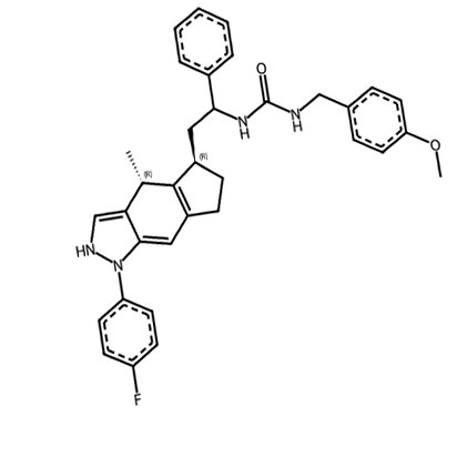 COc1ccc(CNC(=O)NC(C[C@H]2CCC3=C2[C@@H](C)C2=CNN(c4ccc(F)cc4)C2=C3)c2ccccc2)cc1